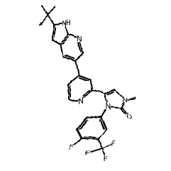 Cn1cc(-c2cc(-c3cnc4[nH]c(C(C)(C)C)cc4c3)ccn2)n(-c2ccc(F)c(C(F)(F)F)c2)c1=O